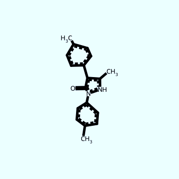 Cc1ccc(-c2c(C)[nH]n(-c3ccc(C)cc3)c2=O)cc1